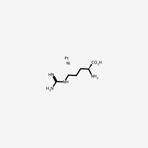 N=C(N)NCCC[C@H](N)C(=O)O.[Ni].[Pt]